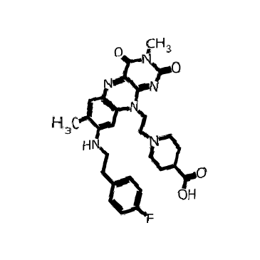 Cc1cc2nc3c(=O)n(C)c(=O)nc-3n(CCN3CCC(C(=O)O)CC3)c2cc1NCCc1ccc(F)cc1